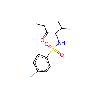 CCC(=O)C(NS(=O)(=O)c1ccc(F)cc1)C(C)C